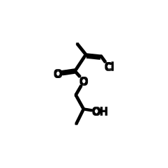 CC(=CCl)C(=O)OCC(C)O